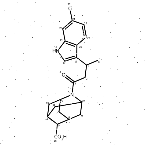 CC(CC(=O)N1C2CC3CC1CC(C2)C3C(=O)O)c1c[nH]c2cc(Cl)ccc12